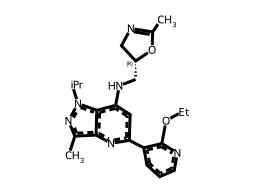 CCOc1ncccc1-c1cc(NC[C@@H]2CN=C(C)O2)c2c(n1)c(C)nn2C(C)C